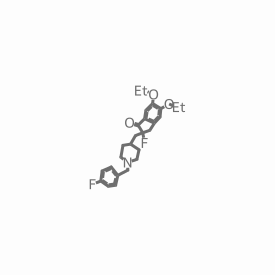 CCOc1cc2c(cc1OCC)C(=O)C(F)(CC1CCN(Cc3ccc(F)cc3)CC1)C2